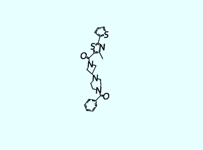 Cc1nc(-c2cccs2)sc1C(=O)N1CC(N2CCN(C(=O)c3ccccc3)CC2)C1